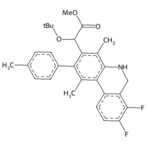 COC(=O)C(OC(C)(C)C)c1c(C)c2c(c(C)c1-c1ccc(C)cc1)-c1ccc(F)c(F)c1CN2